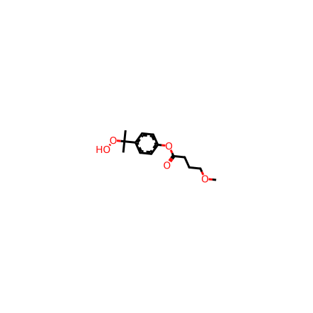 COCCCC(=O)Oc1ccc(C(C)(C)OO)cc1